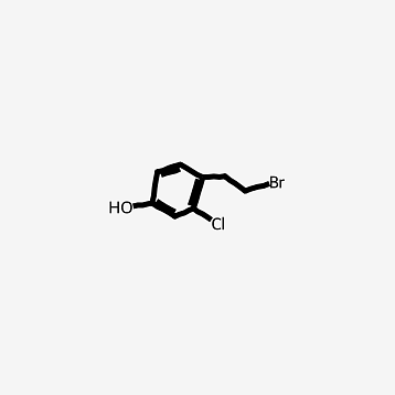 Oc1ccc(CCBr)c(Cl)c1